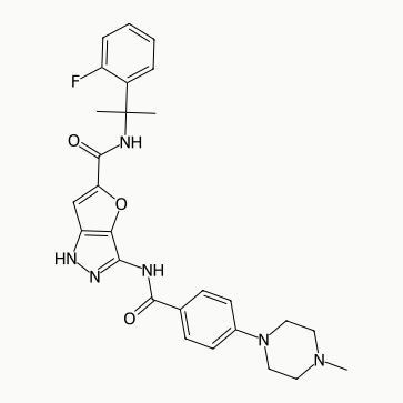 CN1CCN(c2ccc(C(=O)Nc3n[nH]c4cc(C(=O)NC(C)(C)c5ccccc5F)oc34)cc2)CC1